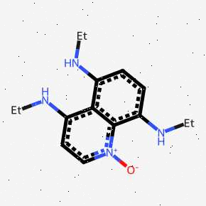 CCNc1ccc(NCC)c2c1c(NCC)cc[n+]2[O-]